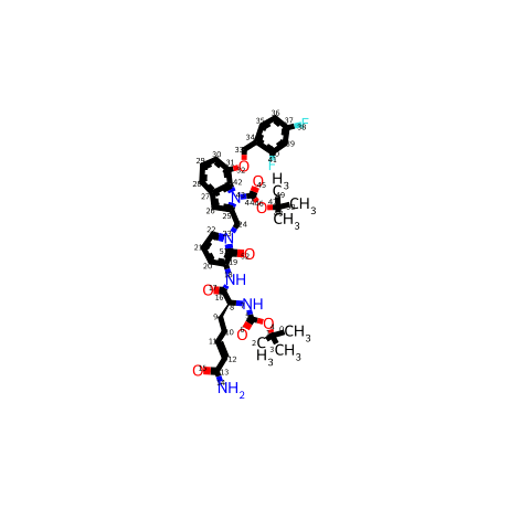 CC(C)(C)OC(=O)N[C@@H](CC/C=C/C(N)=O)C(=O)Nc1cccn(Cc2cc3cccc(OCc4ccc(F)cc4F)c3n2C(=O)OC(C)(C)C)c1=O